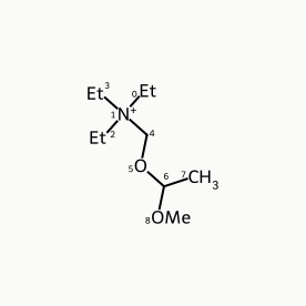 CC[N+](CC)(CC)COC(C)OC